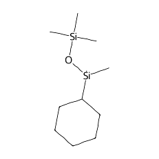 C[Si](O[Si](C)(C)C)C1CCCCC1